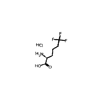 Cl.N[C@@H](CCCC(F)(F)F)C(=O)O